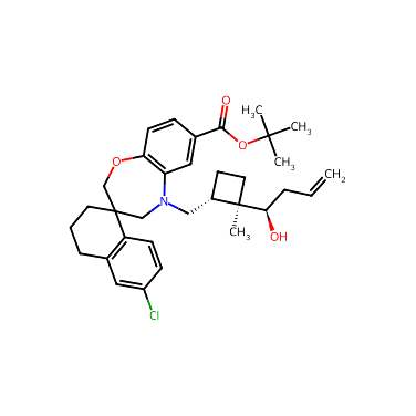 C=CC[C@@H](O)[C@]1(C)CC[C@H]1CN1CC2(CCCc3cc(Cl)ccc32)COc2ccc(C(=O)OC(C)(C)C)cc21